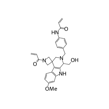 C=CC(=O)Nc1ccc(CN2CC3(CN(C(=O)C=C)C3)c3c([nH]c4cc(OC)ccc34)C2CO)cc1